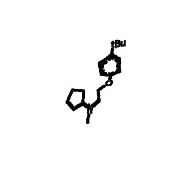 CN(CCOc1ccc(C(C)(C)C)cc1)C1CCCC1